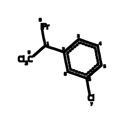 CC(C)C(c1cccc(Cl)c1)C(Cl)(Cl)Cl